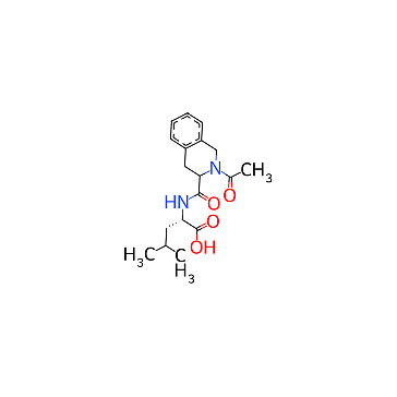 CC(=O)N1Cc2ccccc2CC1C(=O)N[C@@H](CC(C)C)C(=O)O